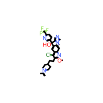 C=C(C)N1CCC(CCc2c(OC)nc3ccc(C(O)(c4ccc(C(F)(F)F)nc4)c4cncn4C)cc3c2Cl)CC1